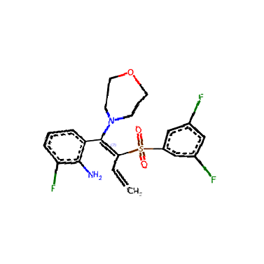 C=C/C(=C(\c1cccc(F)c1N)N1CCOCC1)S(=O)(=O)c1cc(F)cc(F)c1